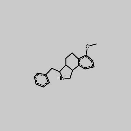 COc1cccc2c1CCC1C(Cc3ccccc3)NCC21